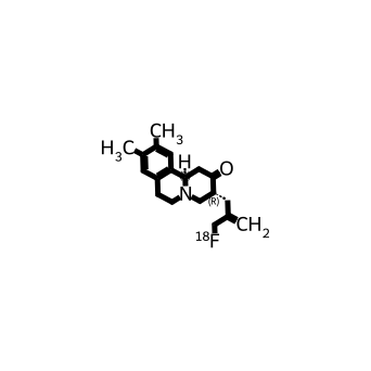 C=C(C[18F])C[C@@H]1CN2CCc3cc(C)c(C)cc3[C@H]2CC1=O